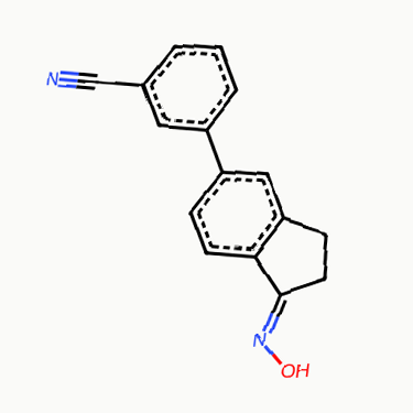 N#Cc1cccc(-c2ccc3c(c2)CC/C3=N\O)c1